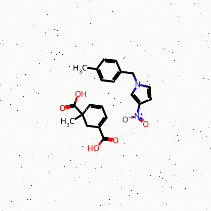 CC1(C(=O)O)C=CC=C(C(=O)O)C1.Cc1ccc(Cn2ccc([N+](=O)[O-])c2)cc1